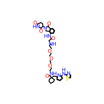 O=C1CCC(N2Cc3c(NC(=O)CNCCOCCOCCOCCNC(=O)C4(Cc5cccc(Nc6nccs6)n5)CCCCC4)cccc3C2=O)C(=O)N1